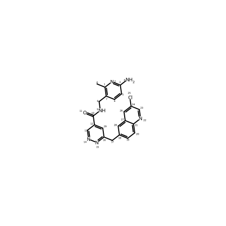 Cc1nc(N)ccc1CNC(=O)c1cnnc(Cc2ccc3ncc(Cl)cc3c2)c1